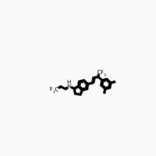 Cc1cc(C)cc(C(/C=C/c2ccc3c(c2)CCC3NCCC(F)(F)F)C(F)(F)F)c1